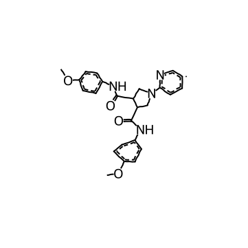 COc1ccc(NC(=O)C2CN(c3cc[c]cn3)CC2C(=O)Nc2ccc(OC)cc2)cc1